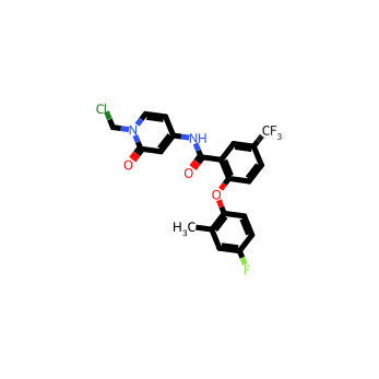 Cc1cc(F)ccc1Oc1ccc(C(F)(F)F)cc1C(=O)Nc1ccn(CCl)c(=O)c1